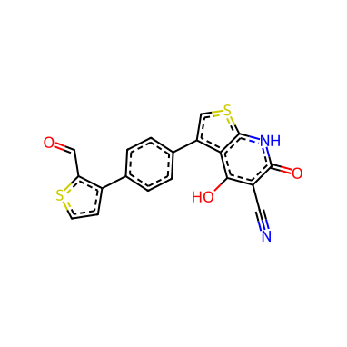 N#Cc1c(O)c2c(-c3ccc(-c4ccsc4C=O)cc3)csc2[nH]c1=O